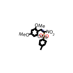 COc1cc(OC)c(/C=C(/[N+](=O)[O-])S(=O)(=O)c2ccc(C)cc2)c(OC)c1